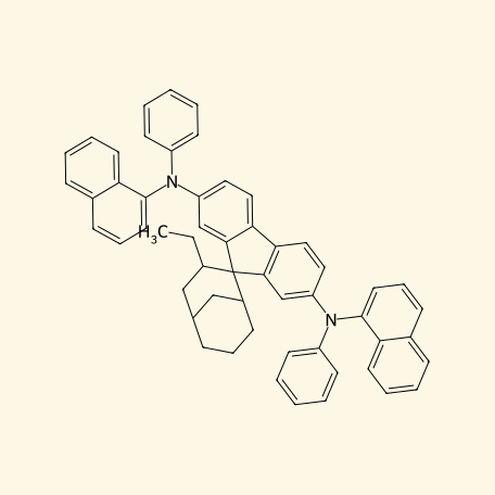 CCC1CC2CCCC(C2)C12c1cc(N(c3ccccc3)c3cccc4ccccc34)ccc1-c1ccc(N(c3ccccc3)c3cccc4ccccc34)cc12